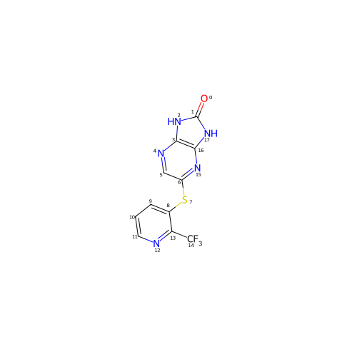 O=c1[nH]c2ncc(Sc3cccnc3C(F)(F)F)nc2[nH]1